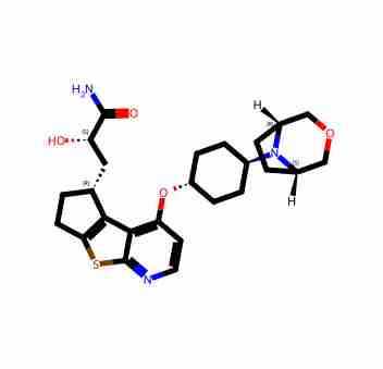 NC(=O)[C@@H](O)C[C@H]1CCc2sc3nccc(O[C@H]4CC[C@H](N5[C@@H]6CC[C@H]5COC6)CC4)c3c21